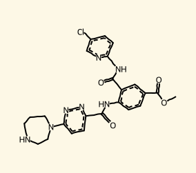 COC(=O)c1ccc(NC(=O)c2ccc(N3CCCNCC3)nn2)c(C(=O)Nc2ccc(Cl)cn2)c1